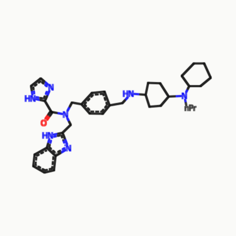 CCCN(C1CCCCC1)C1CCC(NCc2ccc(CN(Cc3nc4ccccc4[nH]3)C(=O)c3ncc[nH]3)cc2)CC1